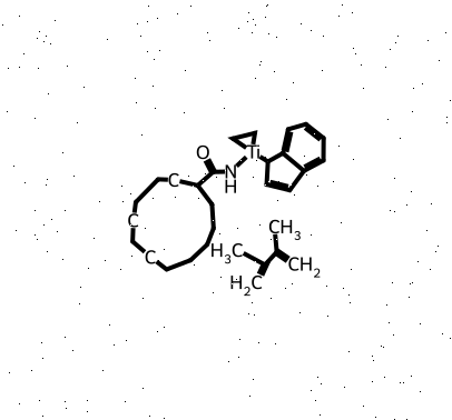 C=C(C)C(=C)C.O=C([NH][Ti]1([CH]2C=Cc3ccccc32)[CH2][CH2]1)C1CCCCCCCCCCC1